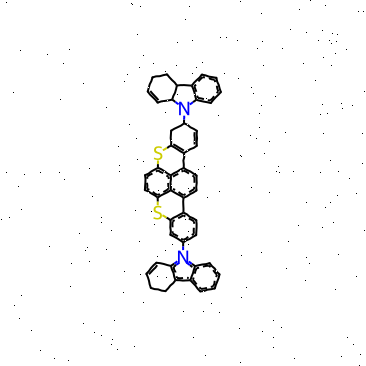 C1=Cc2c(c3ccccc3n2-c2ccc3c(c2)Sc2ccc4c5c(ccc-3c25)C2=C(CC(N3c5ccccc5C5CCC=CC53)C=C2)S4)CC1